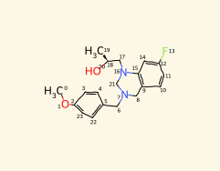 COc1ccc(CN2Cc3ccc(F)cc3N(C[C@H](C)O)C2)cc1